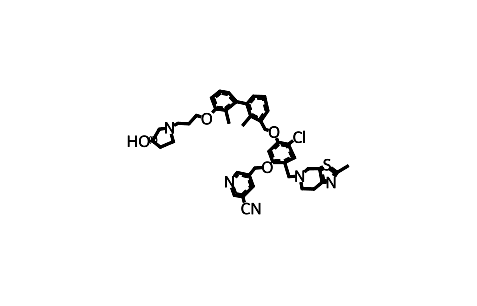 Cc1nc2c(s1)CN(Cc1cc(Cl)c(OCc3cccc(-c4cccc(OCCCN5CC[C@@H](O)C5)c4C)c3C)cc1OCc1cncc(C#N)c1)CC2